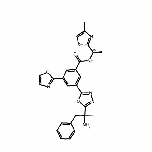 Cc1csc([C@@H](C)NC(=O)c2cc(-c3ncco3)cc(-c3nnc(C(C)(N)Cc4ccccc4)o3)c2)n1